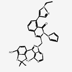 CCn1cc(-c2cccc3nc(Cn4nc(-c5ccc(O)c6c5CC(C)(C)O6)c5c(N)ncnc54)n(-n4cccc4)c(=O)c23)cn1